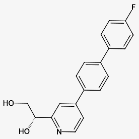 OC[C@@H](O)c1cc(-c2ccc(-c3ccc(F)cc3)cc2)ccn1